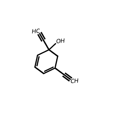 C#CC1=CC=CC(O)(C#C)C1